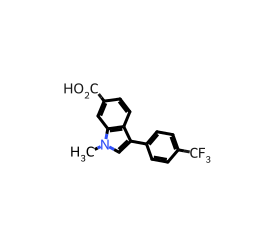 Cn1cc(-c2ccc(C(F)(F)F)cc2)c2ccc(C(=O)O)cc21